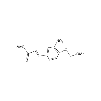 COCOc1ccc(C=CC(=O)OC)cc1[N+](=O)[O-]